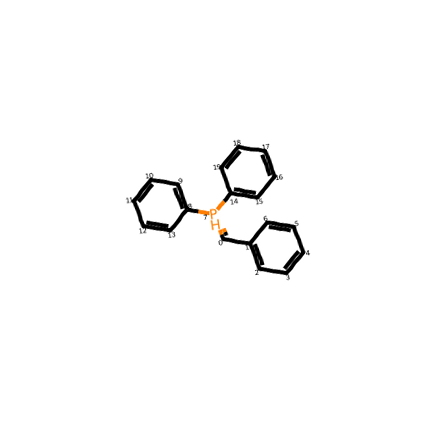 C(c1ccccc1)=[PH](c1ccccc1)c1ccccc1